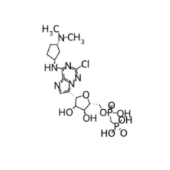 CN(C)[C@H]1CC[C@H](Nc2nc(Cl)nn3c([C@@H]4O[C@H](COP(=O)(O)CP(=O)(O)O)[C@@H](O)[C@H]4O)cnc23)C1